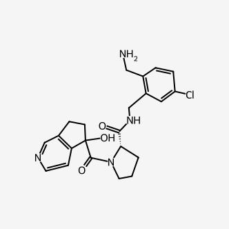 NCc1ccc(Cl)cc1CNC(=O)[C@@H]1CCCN1C(=O)C1(O)CCc2cnccc21